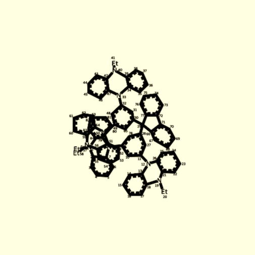 CCN1c2ccccc2N(c2cc(N3c4ccccc4N(CC)c4ccccc43)cc(C3(c4cc(N5c6ccccc6N(CC)c6ccccc65)cc(N5c6ccccc6N(CC)c6ccccc65)c4)c4ccccc4-c4ccccc43)c2)c2ccccc21